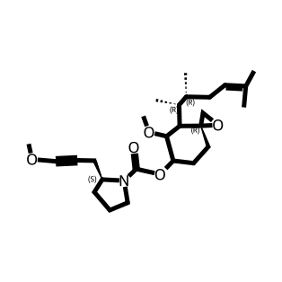 COC#CC[C@@H]1CCCN1C(=O)OC1CC[C@]2(CO2)C([C@H](C)[C@H](C)CC=C(C)C)C1OC